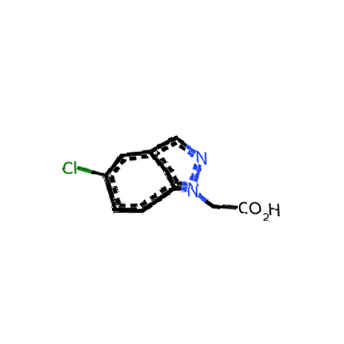 O=C(O)Cn1ncc2cc(Cl)ccc21